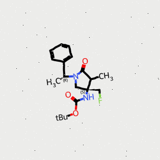 CC1C(=O)N([C@H](C)c2ccccc2)C[C@@]1(CF)NC(=O)OC(C)(C)C